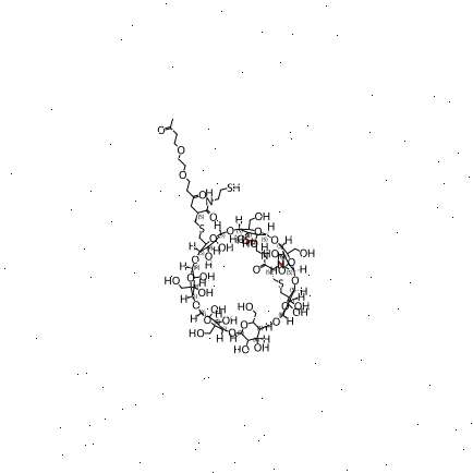 CN[C@H](CSCC1O[C@H]2O[C@@H]3C(CO)O[C@H](O[C@@H]4C(CO)O[C@H](O[C@@H]5C(CO)O[C@H](O[C@@H]6C(CSC[C@@H](CC(=O)CCOCCOCCC(C)=O)C(=O)NCCS)O[C@H](O[C@@H]7C(CO)O[C@@H](O[C@@H]8C(CO)O[C@@H](O[C@H]1[C@H](O)C2O)C(O)[C@H]8O)C(O)[C@H]7O)C(O)[C@H]6O)C(O)[C@H]5O)C(O)[C@H]4O)C(O)[C@H]3O)C(=O)NCCS